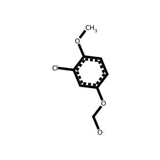 COc1ccc(OC[O])cc1Cl